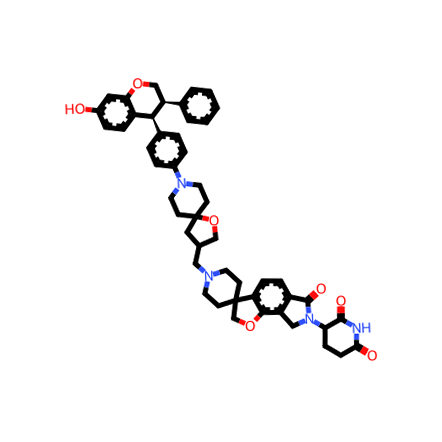 O=C1CCC(N2Cc3c(ccc4c3OCC43CCN(CC4COC5(CCN(c6ccc([C@H]7c8ccc(O)cc8OC[C@H]7c7ccccc7)cc6)CC5)C4)CC3)C2=O)C(=O)N1